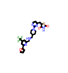 O=C1NC(=O)/C(=C\c2ccnc(N3CCC(CNCc4cc(C(F)(F)F)cc(-c5ccco5)n4)CC3)n2)S1